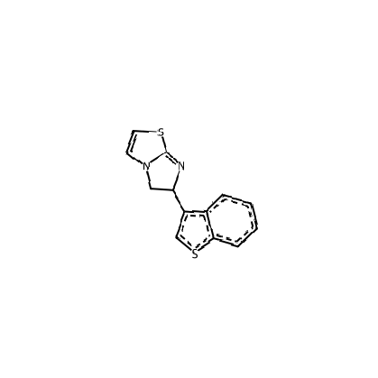 C1=CN2CC(c3csc4ccccc34)N=C2S1